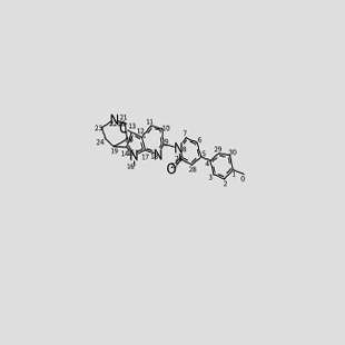 Cc1ccc(-c2ccn(-c3ccc4c5c(n(C)c4n3)C3CCN(CC3)C5)c(=O)c2)cc1